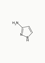 NC1=NBC=C1